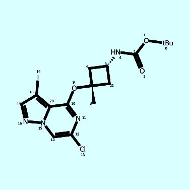 CC(C)(C)OC(=O)N[C@H]1C[C@@](C)(Oc2nc(Cl)cn3ncc(I)c23)C1